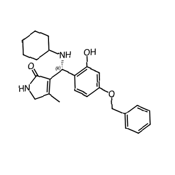 CC1=C([C@H](NC2CCCCC2)c2ccc(OCc3ccccc3)cc2O)C(=O)NC1